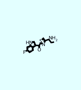 CC[C@@H](N)c1csc(C(=O)c2c[nH]c3cc(F)ccc23)n1